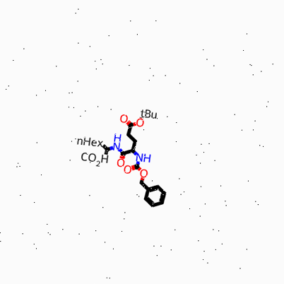 CCCCCCC(NC(=O)C(CCC(=O)OC(C)(C)C)NC(=O)OCc1ccccc1)C(=O)O